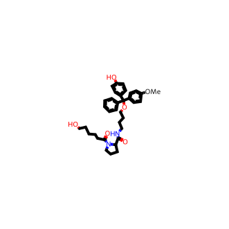 COc1ccc(C(OCCCCNC(=O)C2CCCN2C(=O)CCCCCO)(c2ccccc2)c2ccc(O)cc2)cc1